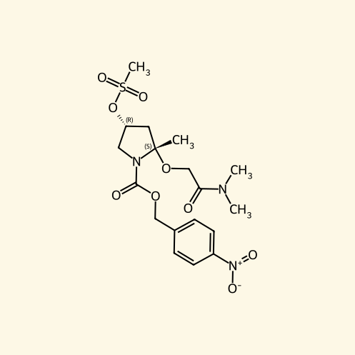 CN(C)C(=O)CO[C@@]1(C)C[C@@H](OS(C)(=O)=O)CN1C(=O)OCc1ccc([N+](=O)[O-])cc1